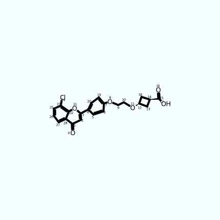 O=c1cc(-c2ccc(OCCO[C@H]3C[C@H](C(=O)O)C3)cc2)oc2c(Cl)cccc12